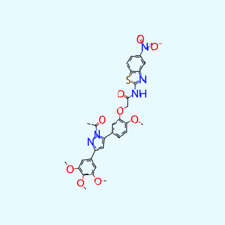 COc1ccc(-c2cc(-c3cc(OC)c(OC)c(OC)c3)nn2C(C)=O)cc1OCC(=O)Nc1nc2cc([N+](=O)[O-])ccc2s1